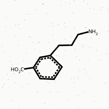 NCCCc1cccc(C(=O)O)c1